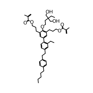 C=C(C)C(=O)OCCCc1cc(-c2ccc(CCc3ccc(CCCCC)cc3)cc2CC)cc(CCCOC(=O)C(=C)C)c1OCCC(CC)(CO)CO